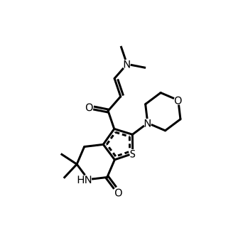 CN(C)C=CC(=O)c1c(N2CCOCC2)sc2c1CC(C)(C)NC2=O